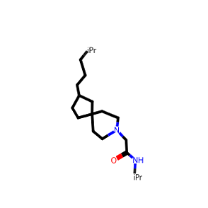 CC(C)CCCC1CCC2(CCN(CC(=O)NC(C)C)CC2)C1